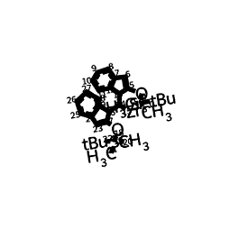 CC(C)(C)[Si](C)(C)OC1=Cc2ccccc2C1[CH]([Zr])C1C(O[Si](C)(C)C(C)(C)C)=Cc2ccccc21